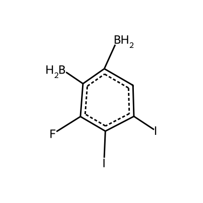 Bc1cc(I)c(I)c(F)c1B